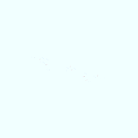 CC(C)(C)OC(=O)/N=C(/NCCCCCCCCNC(=O)C(=O)NCCCCN(CCCNC(=O)OC(C)(C)C)C(=O)OC(C)(C)C)NC(=O)OC(C)(C)C